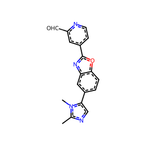 Cc1ncc(-c2ccc3oc(-c4ccnc(C=O)c4)nc3c2)n1C